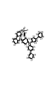 C[Si](C)(C)C#Cc1cc(N(c2ccc(-c3ccccc3)cc2)c2ccc(-c3ccccc3)cc2)ccc1-n1c2ccccc2c2ccccc21